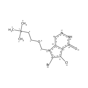 C[Si](C)(C)CCOCn1c(Br)c(Cl)c2c(=O)[nH]ncc21